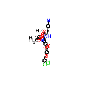 COC(=O)[C@H](CC#Cc1ccc(C#N)cc1)NC(=O)C1Cc2cc3c(cc2CN1C(=O)OC(C)(C)C)O[C@@H](c1ccc(OCc2ccc(Cl)c(Cl)c2)cc1)CO3